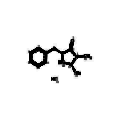 CN1C(=O)[C@H](Cc2ccccc2)N[C@@H]1C(C)(C)C.Cl